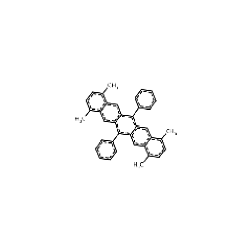 Cc1ccc(C)c2cc3c(-c4ccccc4)c4cc5c(C)ccc(C)c5cc4c(-c4ccccc4)c3cc12